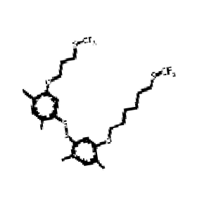 Cc1cc(C)c(SSc2cc(OCCCSC(F)(F)F)c(C)cc2C)cc1OCCCCCCSC(F)(F)F